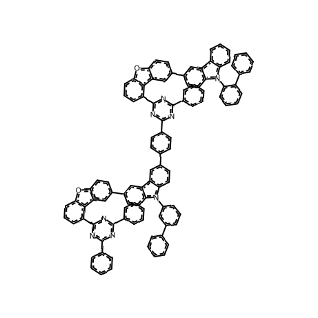 c1ccc(-c2cccc(-n3c4ccc(-c5ccc(-c6nc(-c7ccccc7)nc(-c7cccc8oc9ccc(-c%10ccc%11c(c%10)c%10ccccc%10n%11-c%10ccccc%10-c%10ccccc%10)cc9c78)n6)cc5)cc4c4cc(-c5ccc6oc7cccc(-c8nc(-c9ccccc9)nc(-c9ccccc9)n8)c7c6c5)ccc43)c2)cc1